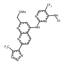 CCNc1nc(Nc2cc(COC)nc3nc(-c4nnsc4C(F)(F)F)ccc23)ncc1C(F)(F)F